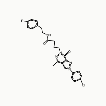 Cc1nn(CCCC(=O)NCCc2ccc(F)cc2)c(=O)c2nn(-c3ccc(Cl)cc3)cc12